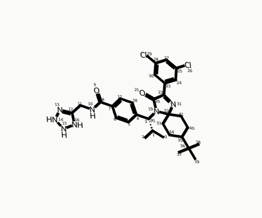 CC(C)[C@H](c1ccc(C(=O)NCC2=NNNN2)cc1)N1C(=O)C(c2cc(Cl)cc(Cl)c2)=NC12CCC(C(C)(C)C)CC2